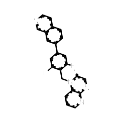 O=c1cnc2ncccc2n1Cc1c(F)cc(-c2ccc3ccncc3c2)cc1F